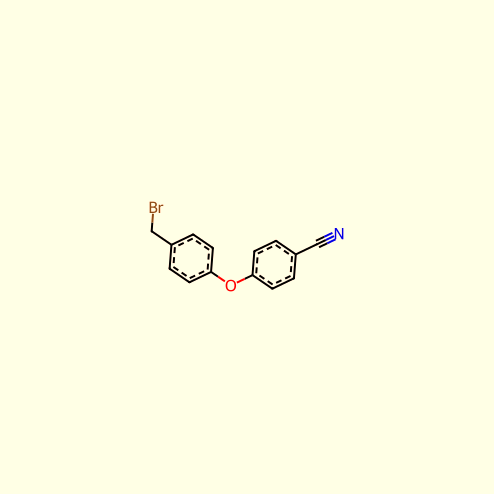 N#Cc1ccc(Oc2ccc(CBr)cc2)cc1